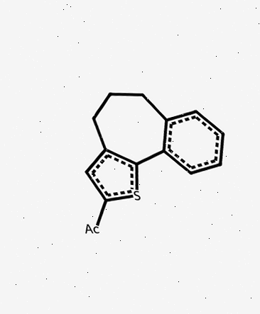 CC(=O)c1cc2c(s1)-c1ccccc1CCC2